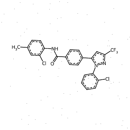 Cc1ccc(NC(=O)c2ccc(-c3cc(C(F)(F)F)nn3-c3ccccc3Cl)cc2)c(Cl)c1